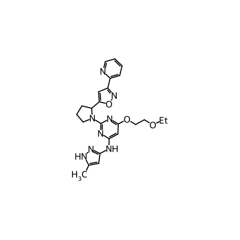 CCOCCOc1cc(Nc2cc(C)[nH]n2)nc(N2CCCC2c2cc(-c3ccccn3)no2)n1